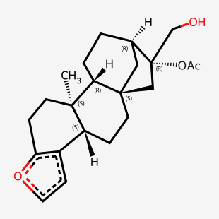 CC(=O)O[C@]1(CO)C[C@@]23CC[C@@H]4c5ccoc5CC[C@@]4(C)[C@@H]2CC[C@@H]1C3